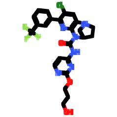 O=C(Nc1ccnc(OCCCO)n1)N1c2nc(-c3cccc(C(F)(F)F)c3)c(Cl)cc2N2CCC1C2